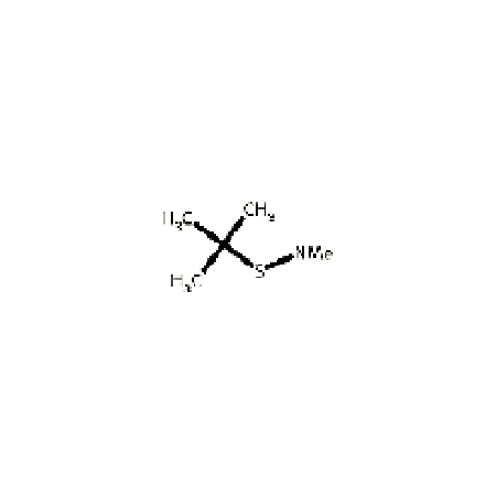 CNSC(C)(C)C